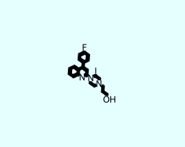 OCCCN1CCN(c2cc(-c3ccc(F)cc3)c3ccccc3n2)C(I)C1